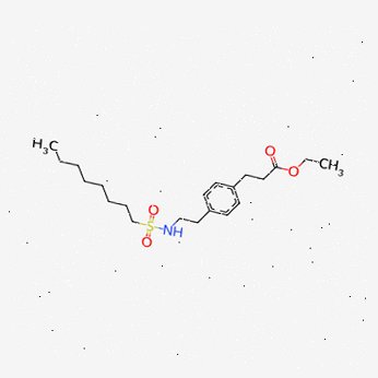 CCCCCCCCS(=O)(=O)NCCc1ccc(CCC(=O)OCC)cc1